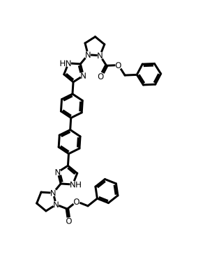 O=C(OCc1ccccc1)N1CCCN1c1nc(-c2ccc(-c3ccc(-c4c[nH]c(N5CCCN5C(=O)OCc5ccccc5)n4)cc3)cc2)c[nH]1